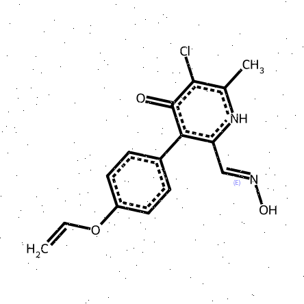 C=COc1ccc(-c2c(/C=N/O)[nH]c(C)c(Cl)c2=O)cc1